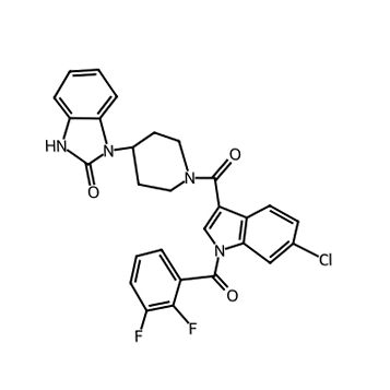 O=C(c1cn(C(=O)c2cccc(F)c2F)c2cc(Cl)ccc12)N1CCC(n2c(=O)[nH]c3ccccc32)CC1